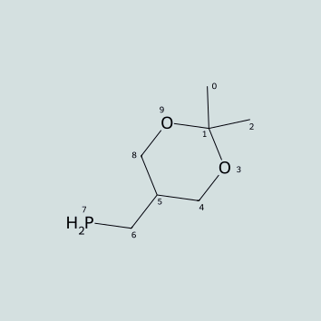 CC1(C)OCC(CP)CO1